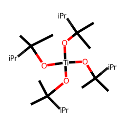 CC(C)C(C)(C)[O][Ti]([O]C(C)(C)C(C)C)([O]C(C)(C)C(C)C)[O]C(C)(C)C(C)C